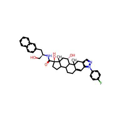 CC12Cc3cnn(-c4ccc(F)cc4)c3C=C1CCC1C2[C@@H](O)CC2(C)C1CC[C@]2(O)C(=O)N[C@@H](CO)Cc1ccc2ccccc2c1